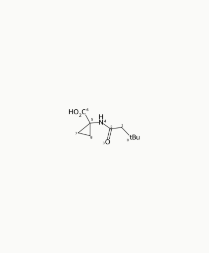 CC(C)(C)CC(=O)NC1(C(=O)O)CC1